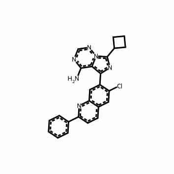 Nc1ncnn2c(C3CCC3)nc(-c3cc4nc(-c5ccccc5)ccc4cc3Cl)c12